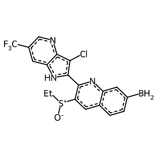 Bc1ccc2cc([S+]([O-])CC)c(-c3[nH]c4cc(C(F)(F)F)cnc4c3Cl)nc2c1